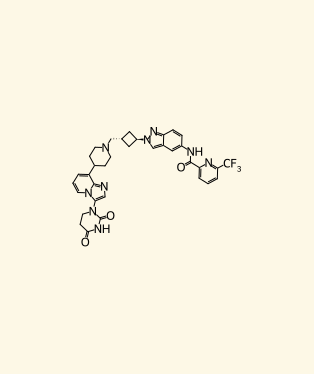 O=C1CCN(c2cnc3c(C4CCN(C[C@H]5C[C@H](n6cc7cc(NC(=O)c8cccc(C(F)(F)F)n8)ccc7n6)C5)CC4)cccn23)C(=O)N1